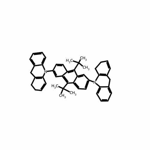 CC(C)(C)c1c2ccc(N3C4=C(C=CCC4)Cc4ccccc43)cc2c(C(C)(C)C)c2ccc(N3C4=C(CCC=C4)Cc4ccccc43)cc12